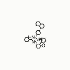 c1ccc(C2N=C(c3cccc4oc5cccnc5c34)NC(c3ccc(-c4cccc5ccccc45)cc3)N2)cc1